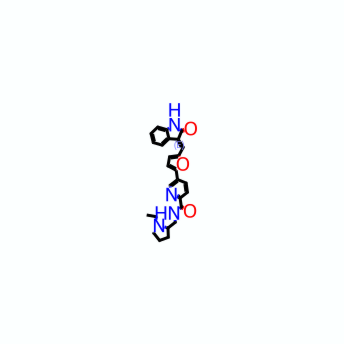 CCN1CCCC1CNC(=O)c1ccc(-c2ccc(/C=C3/C(=O)Nc4ccccc43)o2)cn1